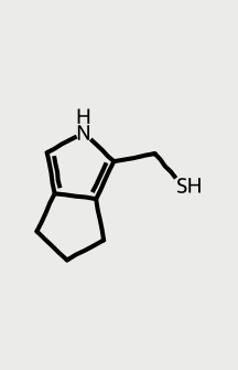 SCc1[nH]cc2c1CCC2